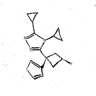 F[C@H]1C[C@](c2ccsc2)(c2nnc(C3CC3)n2C2CC2)C1